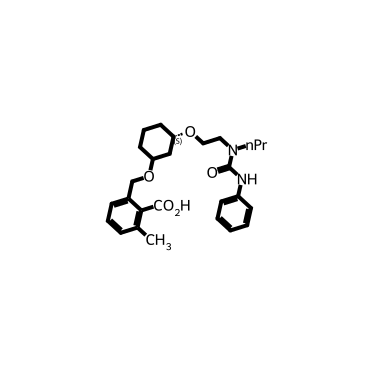 CCCN(CCO[C@H]1CCCC(OCc2cccc(C)c2C(=O)O)C1)C(=O)Nc1ccccc1